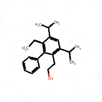 CCc1c(C(C)C)cc(C(C)C)c(CCO)c1-c1ccccc1